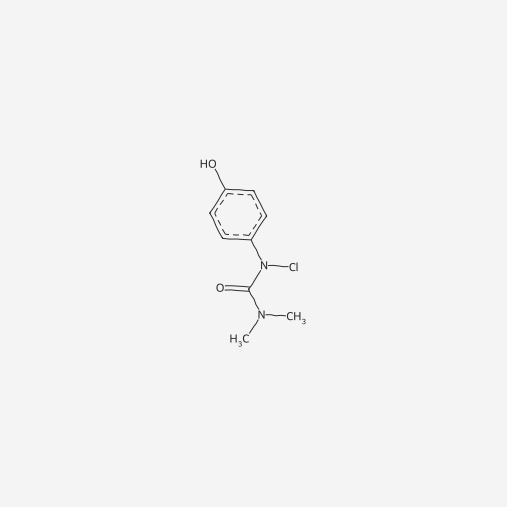 CN(C)C(=O)N(Cl)c1ccc(O)cc1